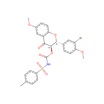 COc1ccc2c(c1)C(=O)[C@H](OC(=O)NS(=O)(=O)c1ccc(C)cc1)[C@@H](c1ccc(OC)c(Br)c1)O2